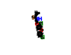 S=C(NCCOc1ccc(Oc2cccc(Cl)c2)cc1Cl)C1CC1